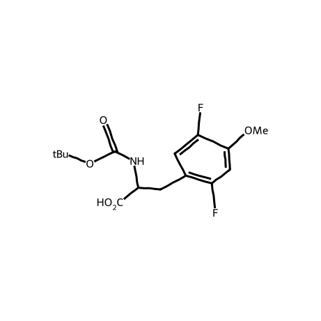 COc1cc(F)c(CC(NC(=O)OC(C)(C)C)C(=O)O)cc1F